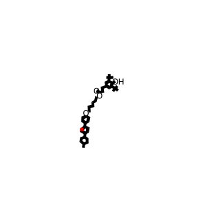 CC1CCC(c2ccc(-c3ccc(OCCCCCCOC(=O)CCc4cc(C(C)(C)C)c(O)c(C(C)(C)C)c4)cc3)cc2)CC1